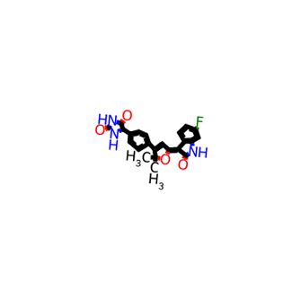 CC1(C)OC(=C2C(=O)Nc3cc(F)ccc32)C=C1c1ccc(C2NC(=O)NC2=O)cc1